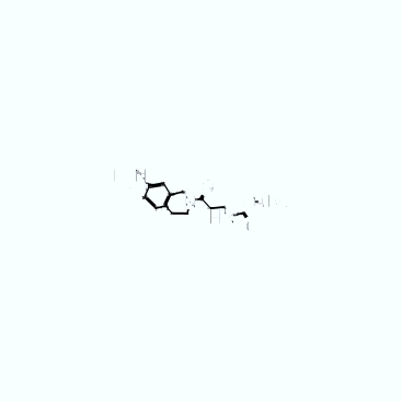 CC(C)(C)OC(=O)NCCC(=O)N1CCc2ccc(N)cc2C1